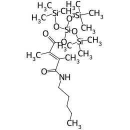 CCCCCNC(=O)/C(C)=C(\C)C(=O)O[Si](O[Si](C)(C)C)(O[Si](C)(C)C)O[Si](C)(C)C